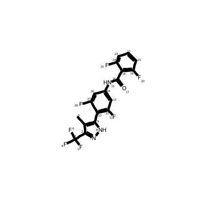 Cc1c(C(F)(F)F)n[nH]c1-c1c(F)cc(NC(=O)c2c(F)cccc2F)cc1F